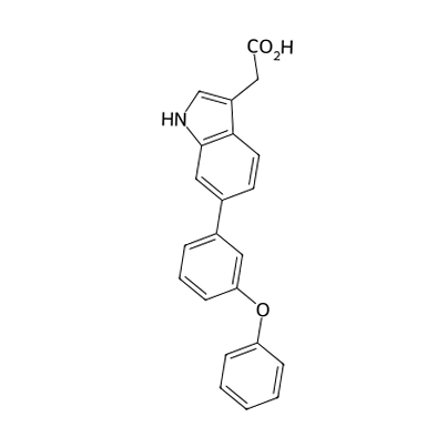 O=C(O)Cc1c[nH]c2cc(-c3cccc(Oc4ccccc4)c3)ccc12